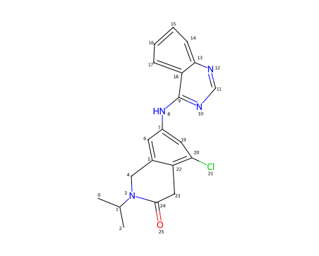 CC(C)N1Cc2cc(Nc3ncnc4ccccc34)cc(Cl)c2CC1=O